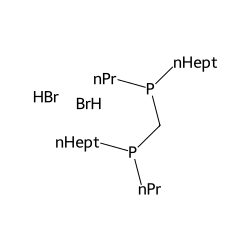 Br.Br.CCCCCCCP(CCC)CP(CCC)CCCCCCC